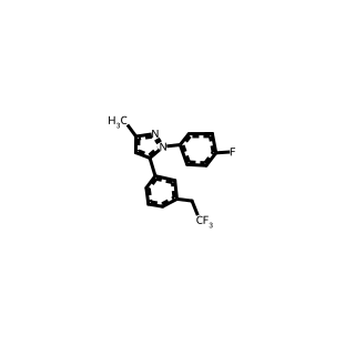 Cc1cc(-c2cccc(CC(F)(F)F)c2)n(-c2ccc(F)cc2)n1